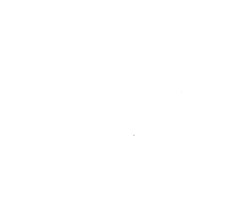 Cc1cc(F)ccc1C[C@H]1C[C@@H](O)c2cc(Br)ccc2O1